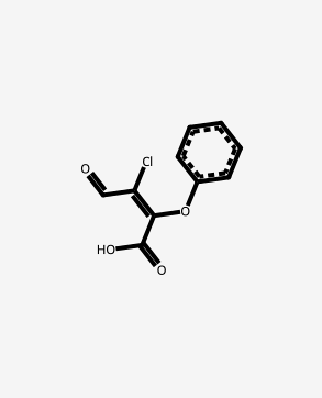 O=CC(Cl)=C(Oc1ccccc1)C(=O)O